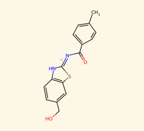 Cc1ccc(C(=O)/N=c2/[nH]c3ccc(CO)cc3s2)cc1